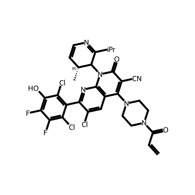 C=CC(=O)N1CCN(c2c(C#N)c(=O)n(C3C(C(C)C)=NC=C[C@H]3C)c3nc(-c4c(Cl)c(O)c(F)c(F)c4Cl)c(Cl)cc23)CC1